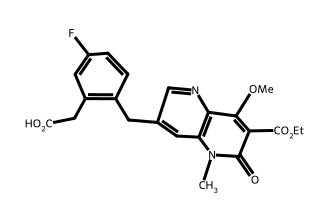 CCOC(=O)c1c(OC)c2ncc(Cc3ccc(F)cc3CC(=O)O)cc2n(C)c1=O